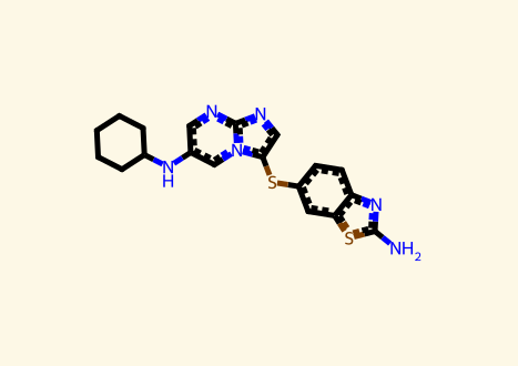 Nc1nc2ccc(Sc3cnc4ncc(NC5CCCCC5)cn34)cc2s1